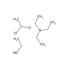 CC(Cl)Cl.CCN(CC)CC.CCO